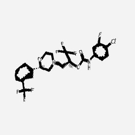 O=C(Nc1ccc(Cl)c(F)c1)O[C@@H](CN1CCO[C@@H](c2cccc(C(F)(F)F)c2)C1)C(F)(F)F